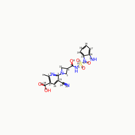 Cc1nc(N2CC(C(=O)NS(=O)(=O)N3ONc4ccccc43)C2)c(C#N)cc1C(=O)O